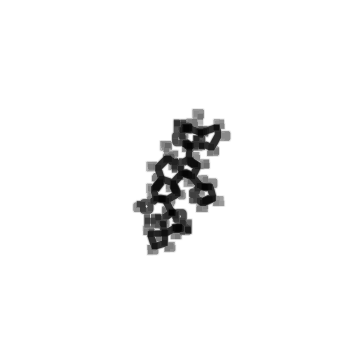 COc1cc2c(cc1C(=O)NC1(C#N)CCC1)-c1c(-c3cccs3)cc(C(=O)N3CCC[C@]3(C)C#N)n1[C@@H](C)C2